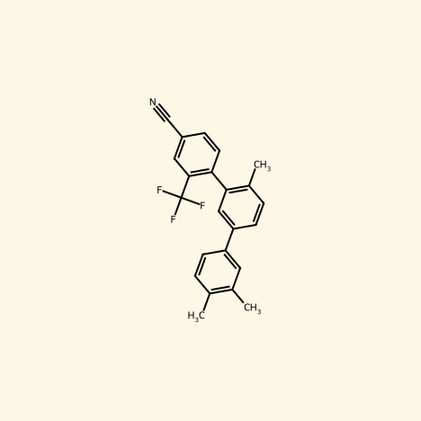 Cc1ccc(-c2ccc(C)c(-c3ccc(C#N)cc3C(F)(F)F)c2)cc1C